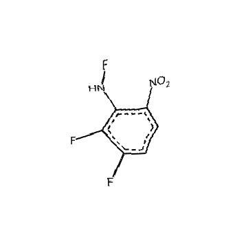 O=[N+]([O-])c1ccc(F)c(F)c1NF